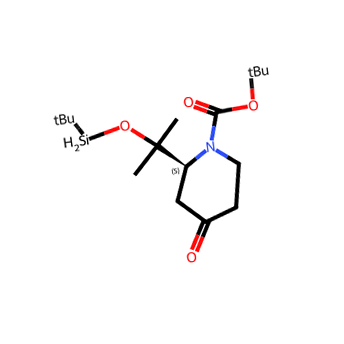 CC(C)(C)OC(=O)N1CCC(=O)C[C@H]1C(C)(C)O[SiH2]C(C)(C)C